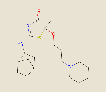 CC1(OCCCN2CCCCC2)SC(NC2CC3CCC2C3)=NC1=O